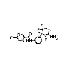 CC1(c2cc(NC(=O)c3cnc(Cl)cn3)ccc2F)N=C(N)OCC1(F)F